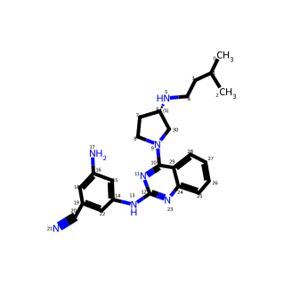 CC(C)CCN[C@H]1CCN(c2nc(Nc3cc(N)cc(C#N)c3)nc3ccccc23)C1